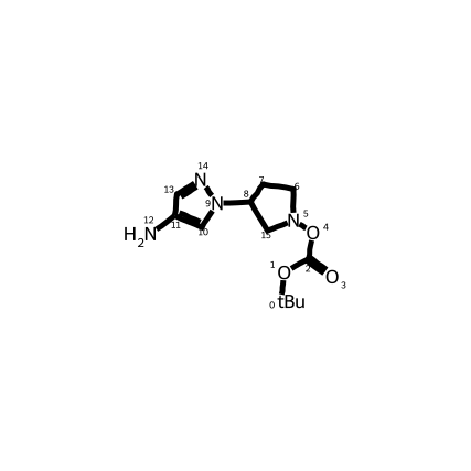 CC(C)(C)OC(=O)ON1CCC(n2cc(N)cn2)C1